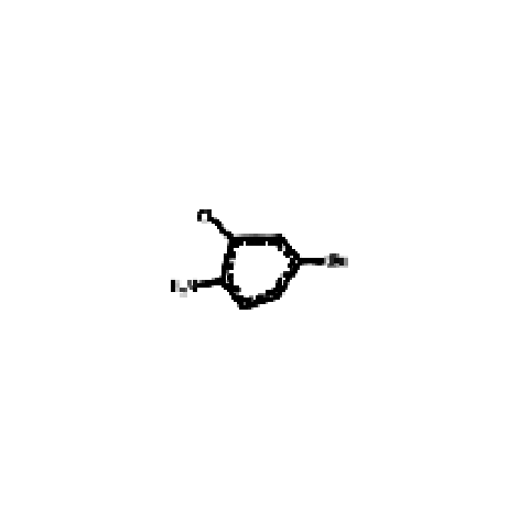 CC(C)(C)c1ccc(N)c(Cl)c1